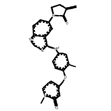 C=C1CCN(c2ccc3ncnc(Nc4ccc(Oc5ccn(C)c(=O)c5)c(C)c4)c3c2)C1=O